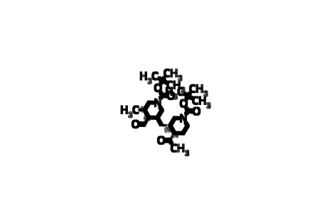 CC(=O)[C@H]1CCN(C(=O)OC(C)(C)C)C[C@H]1CC1CN(C(=O)OC(C)(C)C)C[C@H](C)[C@@H]1C=O